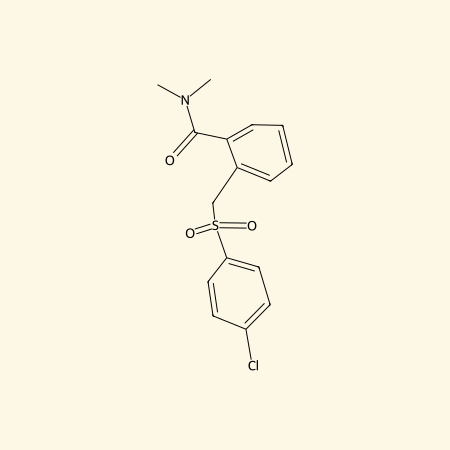 CN(C)C(=O)c1ccccc1CS(=O)(=O)c1ccc(Cl)cc1